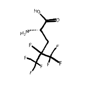 N[C@@H](CC(F)(C(F)(F)F)C(F)(F)F)C(=O)O